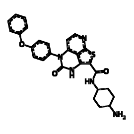 NC1CCC(NC(=O)c2sc3nccc4c3c2NC(=O)N4c2ccc(Oc3ccccc3)cc2)CC1